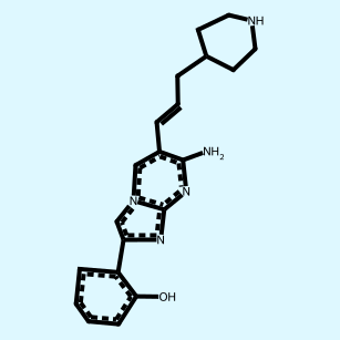 Nc1nc2nc(-c3ccccc3O)cn2cc1/C=C/CC1CCNCC1